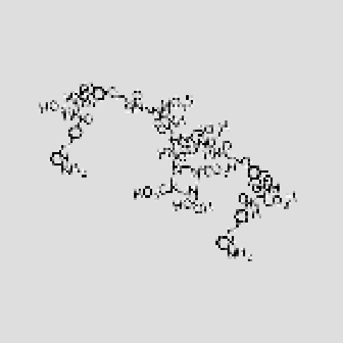 Cc1cc(OCCCC(=O)NCCNC(=O)C(CS(=O)(=O)O)NC(=O)CCC(NC(=O)CN2CCN(CC(=O)O)CCN(CC(O)O)CCN(CC(=O)O)CC2)C(=O)NC(CS(=O)(=O)O)C(=O)NCCNC(=O)CCCOc2cc(C)c(S(=O)(=O)NC(CNC(=O)c3ccc(CCc4cccc(N)n4)cc3)C(=O)O)c(C)c2)cc(C)c1S(=O)(=O)NC(CNC(=O)c1ccc(CCc2cccc(N)n2)cc1)C(=O)O